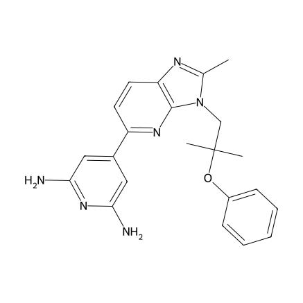 Cc1nc2ccc(-c3cc(N)nc(N)c3)nc2n1CC(C)(C)Oc1ccccc1